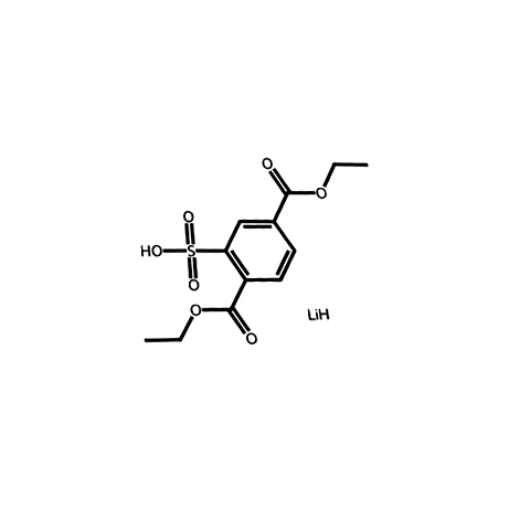 CCOC(=O)c1ccc(C(=O)OCC)c(S(=O)(=O)O)c1.[LiH]